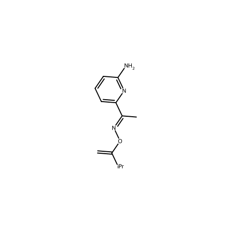 C=C(O/N=C(\C)c1cccc(N)n1)C(C)C